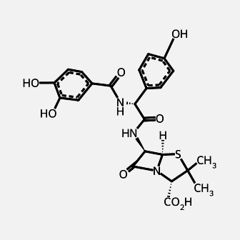 CC1(C)S[C@@H]2[C@H](NC(=O)[C@H](NC(=O)c3ccc(O)c(O)c3)c3ccc(O)cc3)C(=O)N2[C@H]1C(=O)O